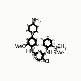 COc1cc(N2CCC(N)CC2)ccc1Nc1ncc(Cl)c(Nc2ccccc2N(C)SC)n1